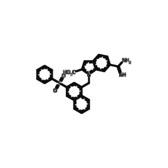 N=C(N)c1ccc2cc(C(=O)O)n(Cc3cc(S(=O)(=O)c4ccccc4)cc4ccccc34)c2c1